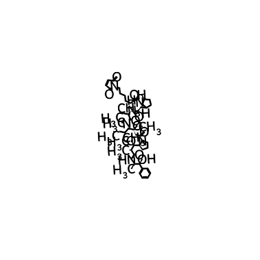 CC[C@H](C)[C@@H]([C@@H](CC(=O)N1CCC[C@H]1[C@H](OC)[C@@H](C)C(=O)N[C@H](C)[C@@H](O)c1ccccc1)OC)N(C)C(=O)[C@@H](NC(=O)[C@@H]1[C@H]2CC[C@H](C2)N1C(=O)CCCCCN1C(=O)C=CC1=O)C(C)C